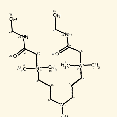 CN(CCC[N+](C)(C)CC(=O)NCO)CCC[N+](C)(C)CC(=O)NCO